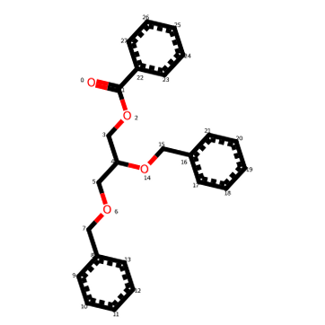 O=C(OCC(COCc1ccccc1)OCc1ccccc1)c1ccccc1